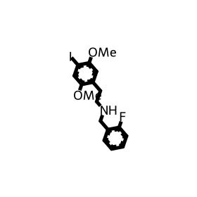 COc1cc(CCNCc2ccccc2F)c(OC)cc1I